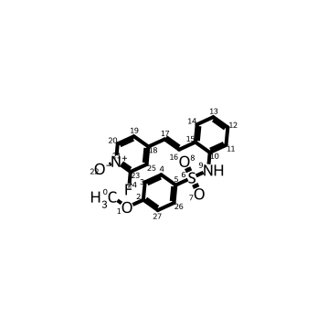 COc1ccc(S(=O)(=O)Nc2ccccc2/C=C/c2cc[n+]([O-])c(F)c2)cc1